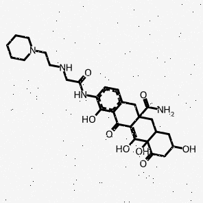 NC(=O)C12Cc3ccc(NC(=O)CNCCN4CCCCC4)c(O)c3C(=O)C1=C(O)C1(O)C(=O)CC(O)CC1C2